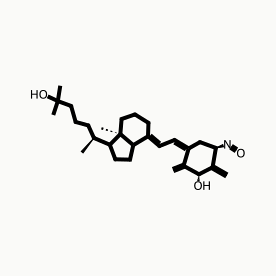 C=C1/C(=C\C=C2/CCC[C@@]3(C)C2CCC3[C@@H](C)CCCC(C)(C)O)C[C@@H](N=O)C(=C)[C@@H]1O